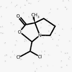 C[C@@]12CCCN1C(C(Cl)Cl)OC2=O